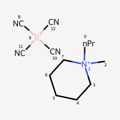 CCC[N+]1(C)CCCCC1.N#C[B-](C#N)(C#N)C#N